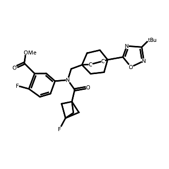 COC(=O)c1cc(N(CC23CCC(c4nc(C(C)(C)C)no4)(CC2)CC3)C(=O)C23CC(F)(C2)C3)ccc1F